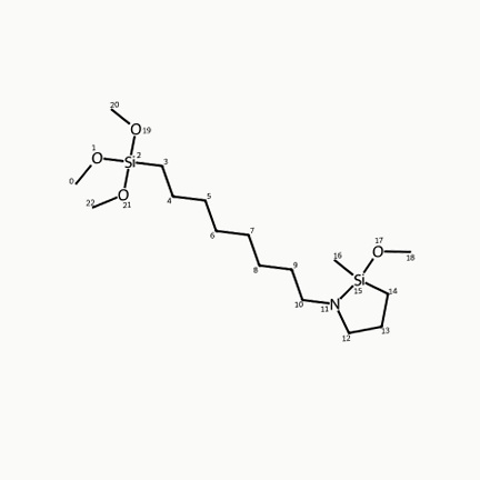 CO[Si](CCCCCCCCN1CCC[Si]1(C)OC)(OC)OC